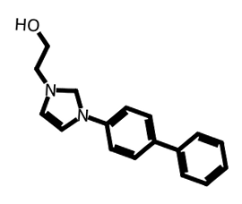 OCCN1C=CN(c2ccc(-c3ccccc3)cc2)C1